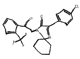 O=C(CN1C(=O)C(c2ccc(Cl)cc2)=NC12CCCCC2)c1ccccc1C(F)(F)F